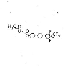 C=CC(=O)OCCC(=O)OC1CCC(C2CCC(c3cc(F)c(OC(F)(F)F)c(F)c3)CC2)CC1